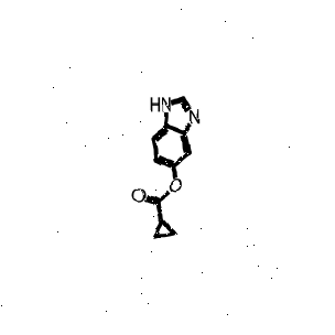 O=C(Oc1ccc2[nH]cnc2c1)C1CC1